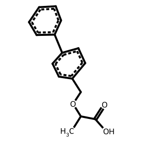 CC(OCc1ccc(-c2ccccc2)cc1)C(=O)O